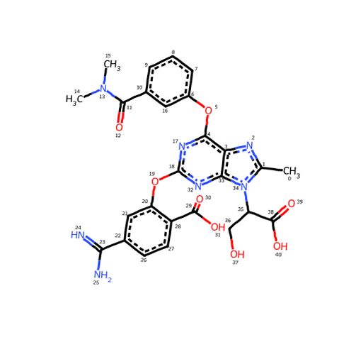 Cc1nc2c(Oc3cccc(C(=O)N(C)C)c3)nc(Oc3cc(C(=N)N)ccc3C(=O)O)nc2n1C(CO)C(=O)O